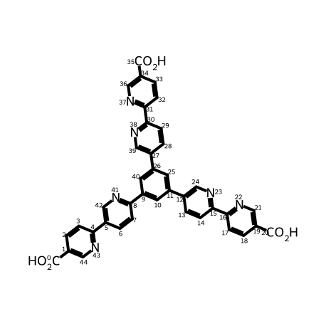 O=C(O)c1ccc(-c2ccc(-c3cc(-c4ccc(-c5ccc(C(=O)O)cn5)nc4)cc(-c4ccc(-c5ccc(C(=O)O)cn5)nc4)c3)nc2)nc1